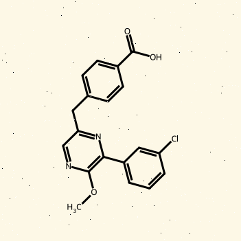 COc1ncc(Cc2ccc(C(=O)O)cc2)nc1-c1cccc(Cl)c1